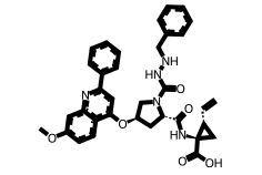 C=C[C@@H]1C[C@]1(NC(=O)[C@@H]1C[C@@H](Oc2cc(-c3ccccc3)nc3cc(OC)ccc23)CN1C(=O)NNCc1ccccc1)C(=O)O